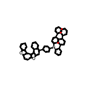 c1ccc(-c2ccc(-c3ccccc3N(c3ccc(-c4ccccc4)cc3)c3ccc(-c4cc5oc6ccc7oc8ccccc8c7c6c5c5ccccc45)cc3)cc2)cc1